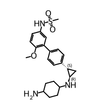 COc1ccc(NS(C)(=O)=O)cc1-c1ccc([C@@H]2C[C@H]2NC2CCC(N)CC2)cc1